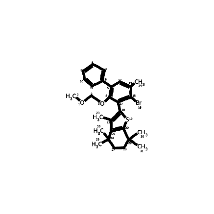 COCOc1c(-c2ccccc2)cc(C)c(Br)c1-c1sc2c(c1C)C(C)(C)CCC2(C)C